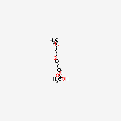 C=CC(=O)OCCCCCCOc1ccc(/C=C/c2ccc(OC(=O)C(=C)CO)cc2)cc1